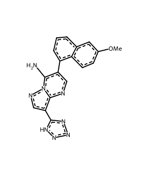 COc1ccc2c(-c3cnc4c(-c5nnn[nH]5)cnn4c3N)cccc2c1